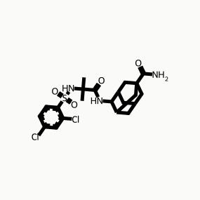 CC(C)(NS(=O)(=O)c1ccc(Cl)cc1Cl)C(=O)NC1C2CC3CC1CC(C(N)=O)(C3)C2